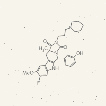 COc1cc2c3c([nH]c2cc1F)[C@@H](c1cccc(O)c1)N1C(=O)N(CCCN2CCCCC2)C(=O)[C@]1(C)C3